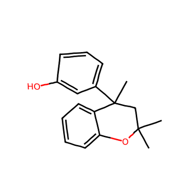 CC1(C)CC(C)(c2cccc(O)c2)c2ccccc2O1